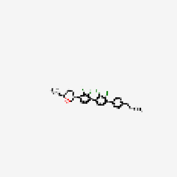 C=CC1CCC(c2ccc(-c3ccc(-c4ccc(CCC)cc4)c(F)c3F)c(F)c2F)CO1